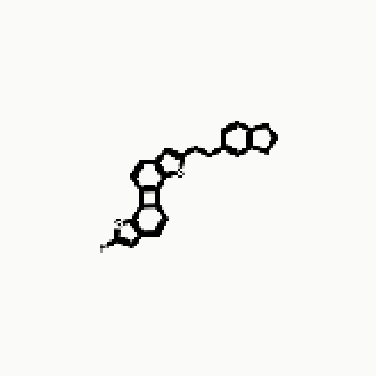 Fc1cc2c(s1)C1c3ccc4cc(CCc5ccc6c(c5)CCC6)sc4c3C1C=C2